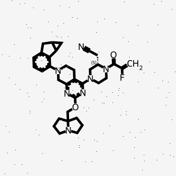 C=C(F)C(=O)N1CCN(c2nc(OCC34CCCN3CCC4)nc3c2CCN(c2cccc4c2C2CC2C4)C3)C[C@@H]1CC#N